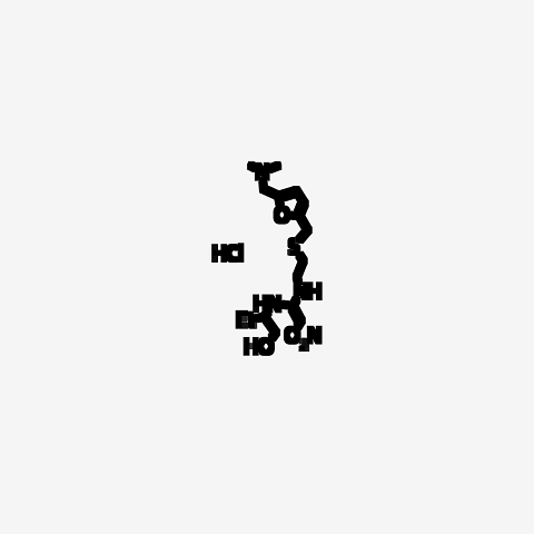 CCC(CO)NC(=C[N+](=O)[O-])NCCSCc1ccc(CN(C)C)o1.Cl